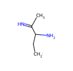 [CH2]CC(N)C(C)=N